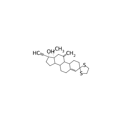 C#C[C@]1(O)CCC2C3CCC4=CC5(CCC4C3C(=C)C[C@@]21CC)SCCS5